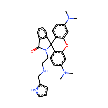 CN(C)c1ccc2c(c1)Oc1cc(N(C)C)ccc1C21c2ccccc2C(=O)N1CCNCc1ccc[nH]1